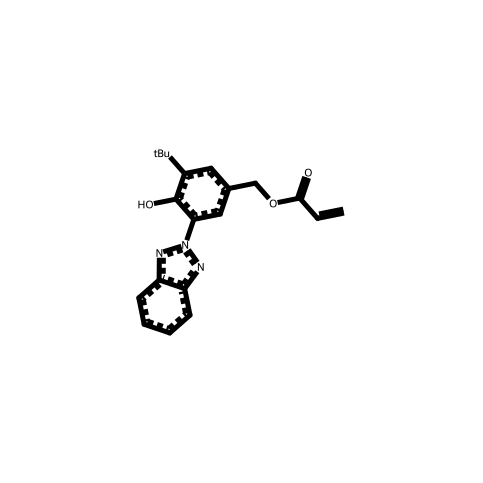 C=CC(=O)OCc1cc(-n2nc3ccccc3n2)c(O)c(C(C)(C)C)c1